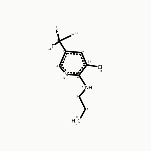 CCCNc1ncc(C(F)(F)F)cc1Cl